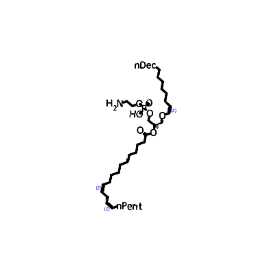 CCCCC/C=C\C/C=C\CCCCCCCCCC(=O)O[C@H](CO/C=C\CCCCCCCCCCCCCCCC)COP(=O)(O)OCCN